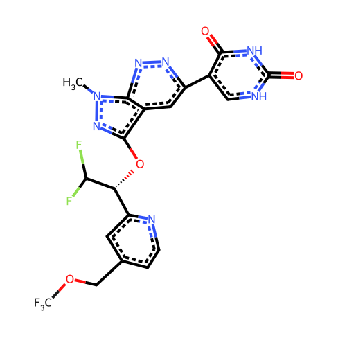 Cn1nc(O[C@H](c2cc(COC(F)(F)F)ccn2)C(F)F)c2cc(-c3c[nH]c(=O)[nH]c3=O)nnc21